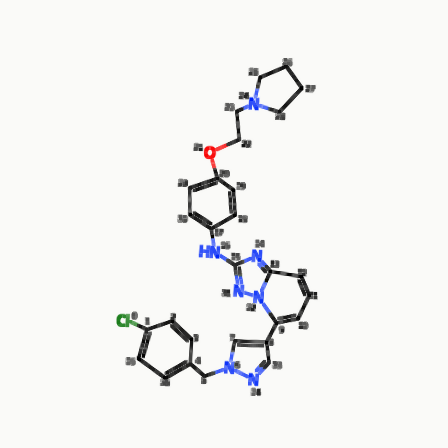 Clc1ccc(Cn2cc(-c3cccc4nc(Nc5ccc(OCCN6CCCC6)cc5)nn34)cn2)cc1